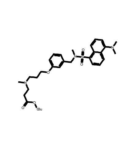 CN(CCCOc1cccc(CN(C)S(=O)(=O)c2cccc3c(N(C)C)cccc23)c1)CCC(=O)OC(C)(C)C